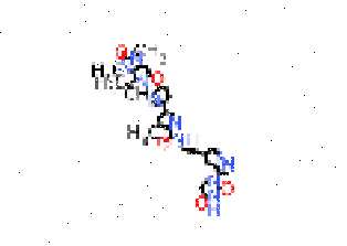 Cc1cc(-c2ccc(Oc3cc4c(c(C(C)C)n3)n(C)c(=O)n4C)cn2)cnc1C(=O)NCC#Cc1ccn2ncc(N3CCC(=O)NC3=O)c2c1